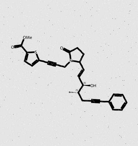 COC(=O)c1ccc(C#CCN2C(=O)CCC2C=C[C@@H](O)[C@@H](C)CC#Cc2ccccc2)s1